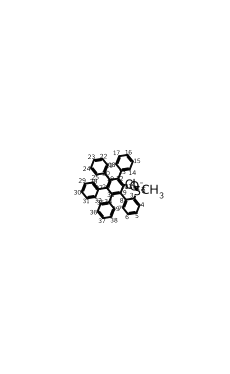 C[S+]([O-])c1ccccc1-c1c(Cl)c(-c2ccccc2)c(-c2ccccc2)c(-c2ccccc2)c1-c1ccccc1